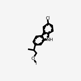 CC(COI)c1ccc2c(c1)[nH]c1ccc(Cl)cc12